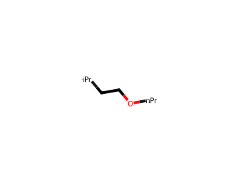 CCCOCC[C](C)C